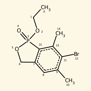 CCOP1(=O)OCc2cc(C)c(Br)c(C)c21